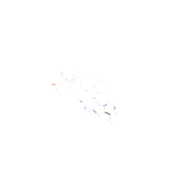 COP(=O)(O)OP(=O)(O)OP(=O)(O)OCC1OC(n2c(N=[N+]=[N-])nc3c(N)ncnc32)C(O)C1O